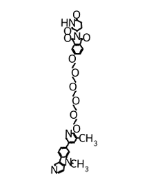 Cc1cc(-c2ccc3c4cnccc4n(C)c3c2)cnc1OCCOCCOCCOCCOCCOc1ccc2c(c1)C(=O)N(C1CCC(=O)NC1=O)C2=O